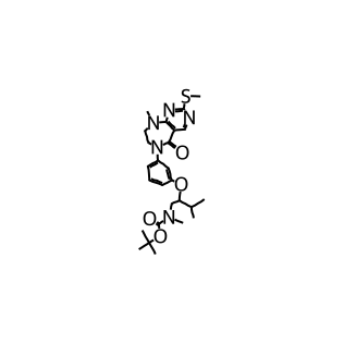 CSc1ncc2c(n1)N(C)CCN(c1cccc(OC(CN(C)C(=O)OC(C)(C)C)C(C)C)c1)C2=O